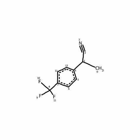 CC(C#N)c1ccc(C(F)(F)F)cc1